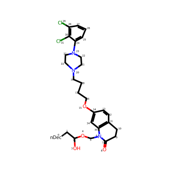 CCCCCCCCCCCC(O)OCN1C(=O)CCc2ccc(OCCCCN3CCN(c4cccc(Cl)c4Cl)CC3)cc21